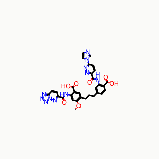 COc1cc(NC(=O)c2ccc3nnnn3n2)c(C(=O)O)cc1CCCc1ccc(C(=O)O)c(NC(=O)c2ccc(-n3ccnc3)nn2)c1